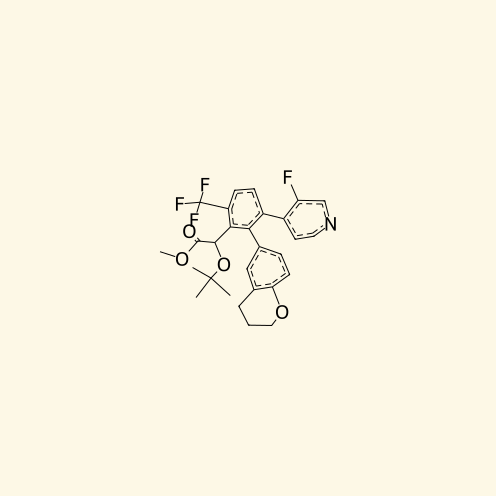 COC(=O)C(OC(C)(C)C)c1c(C(F)(F)F)ccc(-c2ccncc2F)c1-c1ccc2c(c1)CCCO2